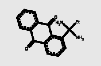 CCC(N)(N)c1cccc2c1C(=O)c1ccccc1C2=O